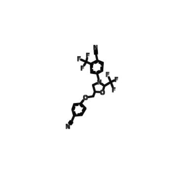 N#Cc1ccc(OCC2CN(c3ccc(C#N)c(C(F)(F)F)c3)C(C(F)(F)F)O2)cc1